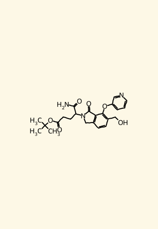 CC(C)(C)OC(=O)CCC(C(N)=O)N1Cc2ccc(CO)c(Oc3cccnc3)c2C1=O